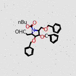 CCCCOC(=O)N1C(CC=O)C(OCc2ccccc2)C(OCc2ccccc2)C1COCc1ccccc1